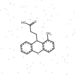 Cc1cccc2c1N(CCC(=O)O)c1ccccc1S2